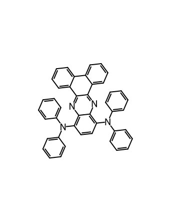 c1ccc(N(c2ccccc2)c2ccc(N(c3ccccc3)c3ccccc3)c3nc4c5ccccc5c5ccccc5c4nc23)cc1